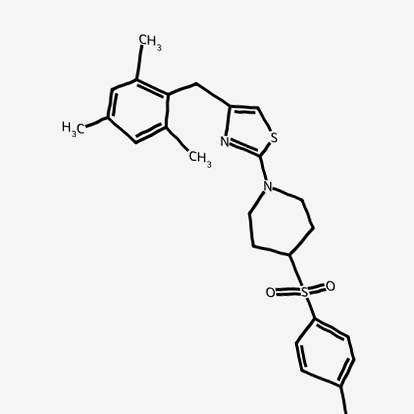 Cc1cc(C)c(Cc2csc(N3CCC(S(=O)(=O)c4ccc(CBr)cc4)CC3)n2)c(C)c1